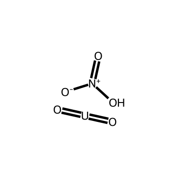 O=[N+]([O-])O.[O]=[U]=[O]